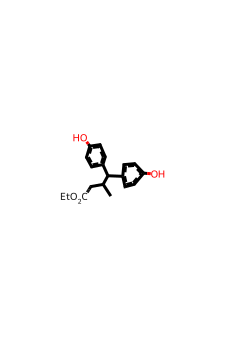 CCOC(=O)CC(C)C(c1ccc(O)cc1)c1ccc(O)cc1